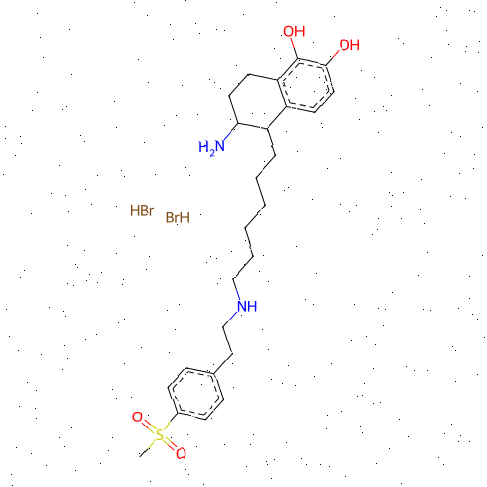 Br.Br.CS(=O)(=O)c1ccc(CCNCCCCCCC2c3ccc(O)c(O)c3CCC2N)cc1